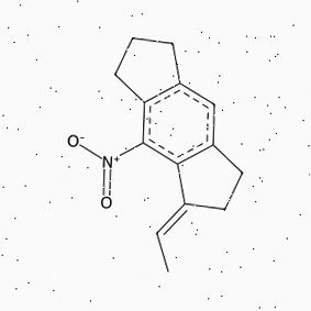 CC=C1CCc2cc3c(c([N+](=O)[O-])c21)CCC3